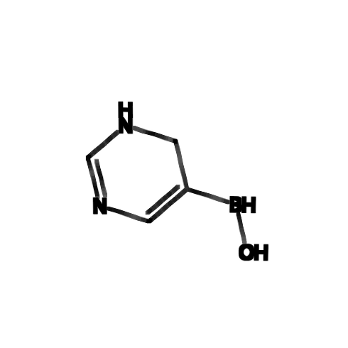 OBC1=CN=CNC1